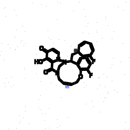 O=C1c2c(O)c(=O)ccn2N2CN1C/C=C\COc1c(F)cccc1C2C[C@H]1C=CC=CC(F)=C1